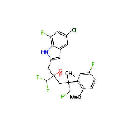 COc1ccc(F)cc1C(C)(CF)CC(O)(Cc1cc2cc(Cl)cc(F)c2[nH]1)C(F)F